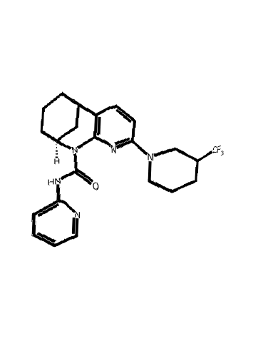 O=C(Nc1ccccn1)N1c2nc(N3CCCC(C(F)(F)F)C3)ccc2C2CCC[C@H]1C2